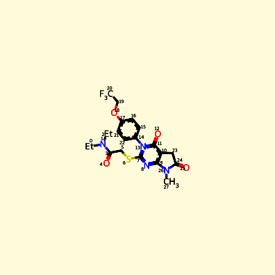 CCN(CC)C(=O)CSc1nc2c(c(=O)n1-c1ccc(OCC(F)(F)F)cc1)CC(=O)N2C